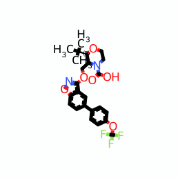 CC(C)(C)[C@H]1OCCN(C(=O)O)C1COc1noc2ccc(-c3ccc(OC(F)(F)F)cc3)cc12